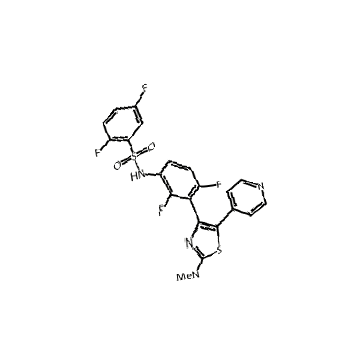 CNc1nc(-c2c(F)ccc(NS(=O)(=O)c3cc(F)ccc3F)c2F)c(-c2ccncc2)s1